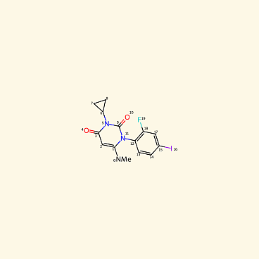 CNc1cc(=O)n(C2CC2)c(=O)n1-c1ccc(I)cc1F